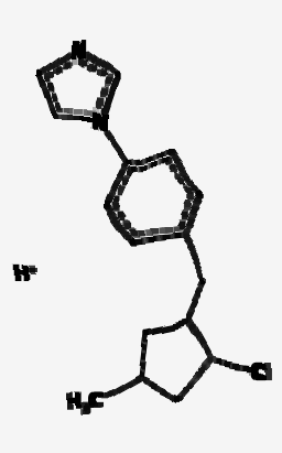 CC1CC(Cl)C(Cc2ccc(-n3ccnc3)cc2)C1.[H+]